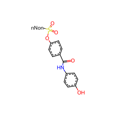 CCCCCCCCCS(=O)(=O)Oc1ccc(C(=O)Nc2ccc(O)cc2)cc1